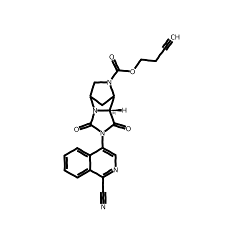 C#CCCOC(=O)N1CC2CC1[C@@H]1C(=O)N(c3cnc(C#N)c4ccccc34)C(=O)N21